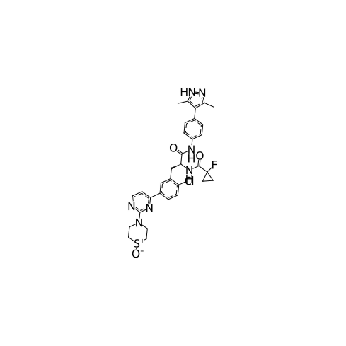 Cc1n[nH]c(C)c1-c1ccc(NC(=O)[C@H](Cc2cc(-c3ccnc(N4CC[S+]([O-])CC4)n3)ccc2Cl)NC(=O)C2(F)CC2)cc1